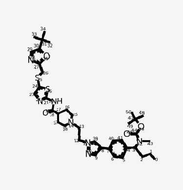 CCCC(c1ccc(-c2cnn(CCN3CCC(C(=O)Nc4ncc(SCc5ncc(C(C)(C)C)o5)s4)CC3)c2)cc1)N(C)C(=O)OC(C)(C)C